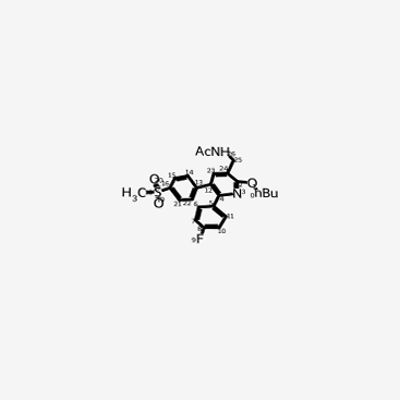 CCCCOc1nc(-c2ccc(F)cc2)c(-c2ccc(S(C)(=O)=O)cc2)cc1CNC(C)=O